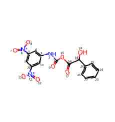 O=C(Nc1cc([N+](=O)[O-])cc([N+](=O)[O-])c1)OC(=O)C(O)c1ccccc1